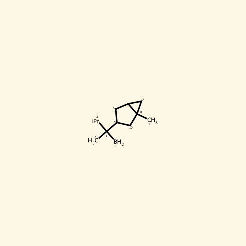 BC(C)(C(C)C)C1CC2CC2(C)C1